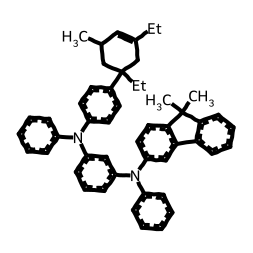 CCC1=CC(C)CC(CC)(c2ccc(N(c3ccccc3)c3cccc(N(c4ccccc4)c4ccc5c(c4)-c4ccccc4C5(C)C)c3)cc2)C1